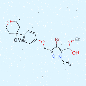 CCOC(O)c1c(Br)c(COc2ccc(C3(OC)CCOCC3)cc2)nn1C